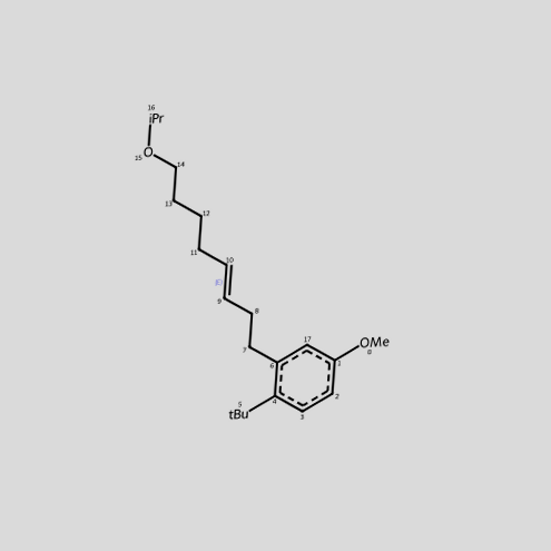 COc1ccc(C(C)(C)C)c(CC/C=C/CCCCOC(C)C)c1